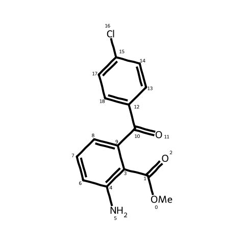 COC(=O)c1c(N)cccc1C(=O)c1ccc(Cl)cc1